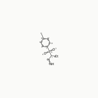 CCC(N=N)S(=O)(=O)c1ccc(C)cc1